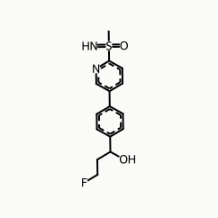 CS(=N)(=O)c1ccc(-c2ccc(C(O)CCF)cc2)cn1